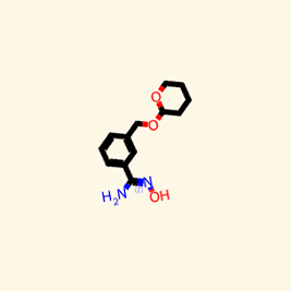 N/C(=N\O)c1cccc(COC2CCCCO2)c1